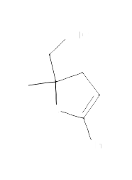 CC(C)C1=CCC(C)(CC=O)S1